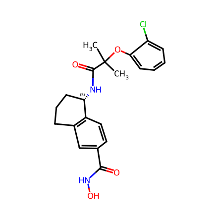 CC(C)(Oc1ccccc1Cl)C(=O)N[C@H]1CCCc2cc(C(=O)NO)ccc21